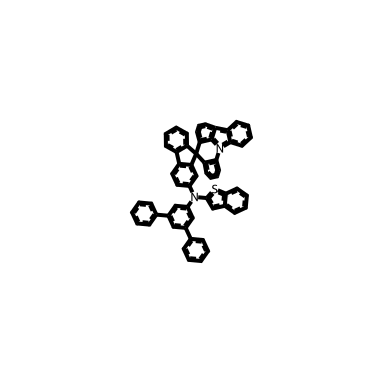 c1ccc(-c2cc(-c3ccccc3)cc(N(c3ccc4c(c3)C3(c5ccccc5-4)c4ccccc4-n4c5ccccc5c5cccc3c54)c3cc4ccccc4s3)c2)cc1